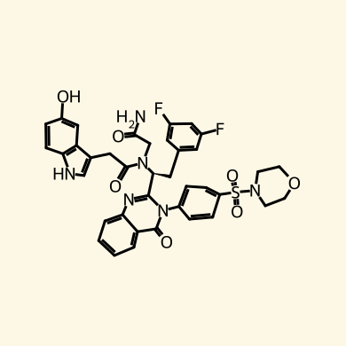 NC(=O)CN(C(=O)Cc1c[nH]c2ccc(O)cc12)[C@@H](Cc1cc(F)cc(F)c1)c1nc2ccccc2c(=O)n1-c1ccc(S(=O)(=O)N2CCOCC2)cc1